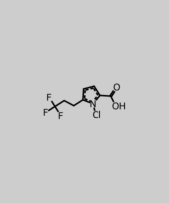 O=C(O)c1ccc(CCC(F)(F)F)n1Cl